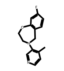 Cc1ccncc1N1CCOc2cc(F)ccc2C1